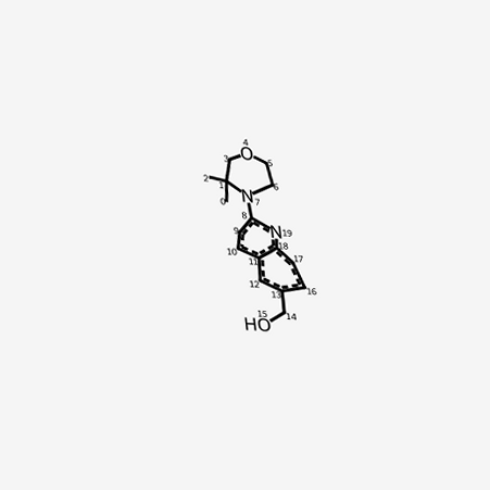 CC1(C)COCCN1c1ccc2cc(CO)ccc2n1